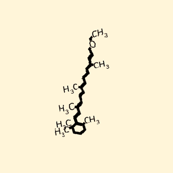 CCOC/C=C/C(C)=C/C=C/C=C(C)/C=C/C=C(C)/C=C/C1=C(C)CCCC1(C)C